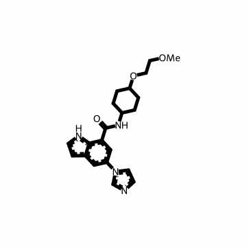 COCCOC1CCC(NC(=O)c2cc(-n3ccnc3)cc3cc[nH]c23)CC1